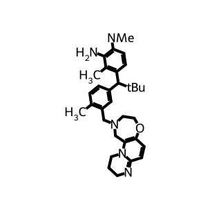 CNc1ccc(C(c2ccc(C)c(CN3CCOC4=C(C3)N3CCCN=C3C=C4)c2)C(C)(C)C)c(C)c1N